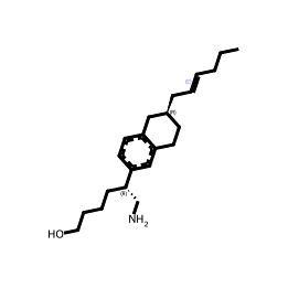 CCC/C=C/C[C@H]1CCc2cc([C@H](CN)CCCCO)ccc2C1